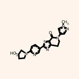 Cn1cc(N2CCc3nc(-c4ccc(N5CC[C@H](O)C5)nc4)sc3C2=O)cn1